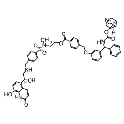 CN(CCOC(=O)c1ccc(COc2cccc(C(NC(=O)O[C@H]3CN4CCC3CC4)c3ccccc3)c2)cc1)S(=O)(=O)c1ccc(CNC[C@H](O)c2ccc(O)c3[nH]c(=O)ccc23)cc1